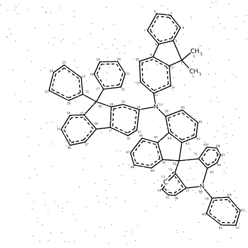 CC1(C)c2ccccc2-c2ccc(N(c3ccc4c(c3)C(c3ccccc3)(c3ccccc3)c3ccccc3-4)c3cccc4c3-c3ccccc3C43c4ccccc4N(c4ccccc4)c4ccccc43)cc21